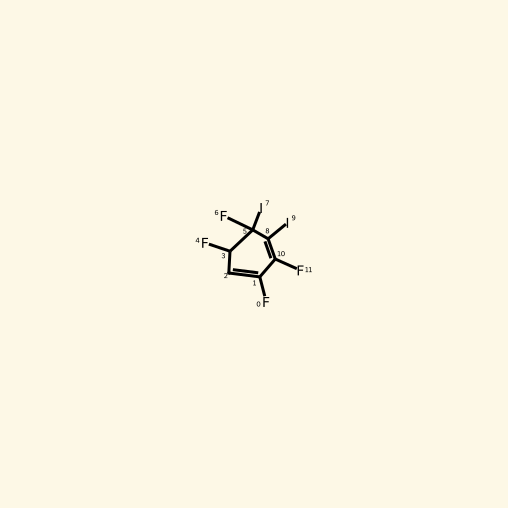 FC1=CC(F)C(F)(I)C(I)=C1F